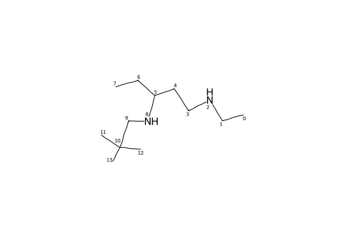 CCNCCC(CC)NCC(C)(C)C